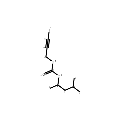 CC(C)CC(C)OC(=O)OCC#CI